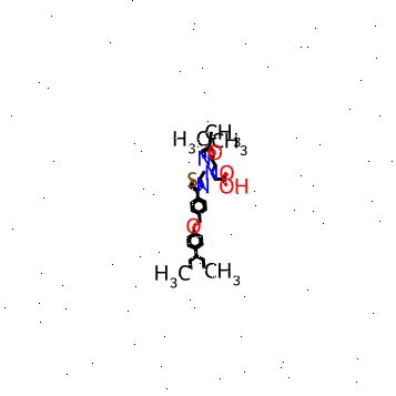 CCCC(CCC)c1ccc(OCc2ccc(-c3csc(CN(CC(=O)O)Cc4ncc(C(C)(C)C)o4)n3)cc2)cc1